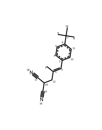 C/C(=C\c1ccc(C(C)(C)C)cc1)CC(C#N)C#N